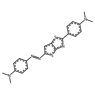 CN(C)c1ccc(N=Nc2cc3sc(-c4ccc(N(C)C)cc4)nc3s2)cc1